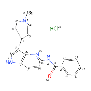 CC(C)(C)N1C=CC(c2c[nH]c3ccc(NC(=O)c4ccccc4)nc23)CC1.Cl